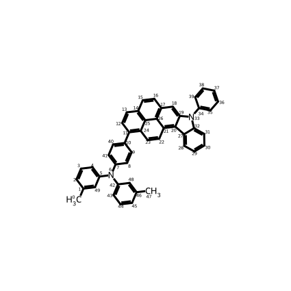 Cc1cccc(N(c2ccc(-c3ccc4ccc5cc6c(c7ccc3c4c57)c3ccccc3n6-c3ccccc3)cc2)c2cccc(C)c2)c1